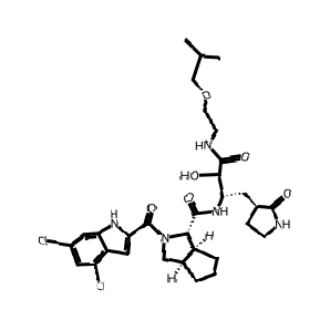 CC(C)COCCNC(=O)C(O)[C@H](C[C@@H]1CCNC1=O)NC(=O)[C@@H]1[C@H]2CCC[C@H]2CN1C(=O)c1cc2c(Cl)cc(Cl)cc2[nH]1